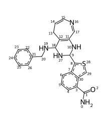 NC(=O)c1cccc2c(C3NC4=C(CC=CN=C4)C(NCc4ccccc4)N3)scc12